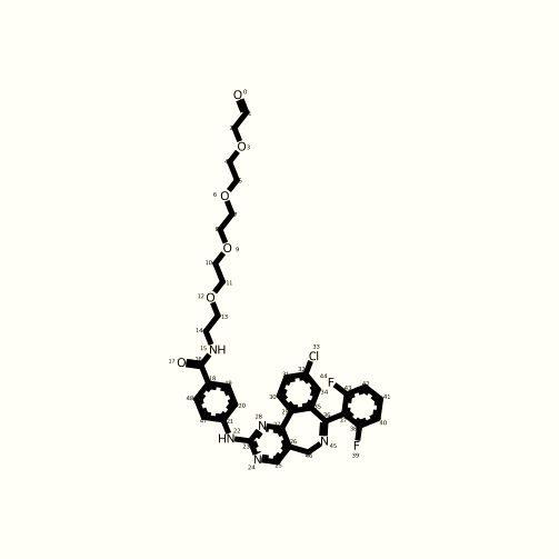 O=CCOCCOCCOCCOCCNC(=O)c1ccc(Nc2ncc3c(n2)-c2ccc(Cl)cc2C(c2c(F)cccc2F)=NC3)cc1